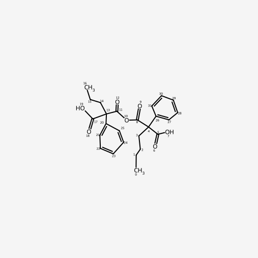 CCCCC(C(=O)O)(C(=O)OC(=O)C(CCC)(C(=O)O)c1ccccc1)c1ccccc1